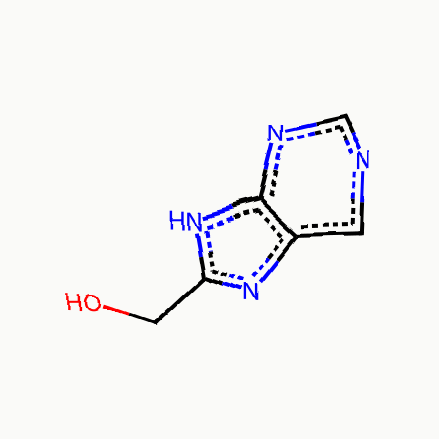 OCc1nc2cncnc2[nH]1